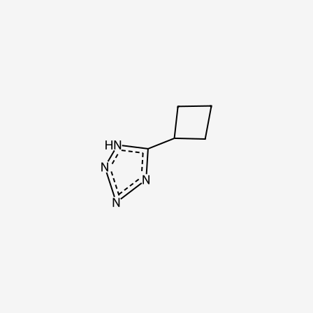 C1CC(c2nnn[nH]2)C1